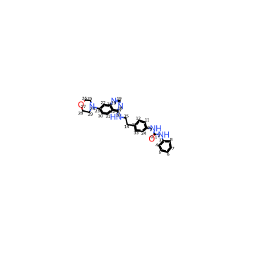 O=C(Nc1ccccc1)Nc1ccc(CCNc2ncnc3cc(N4CCOCC4)ccc23)cc1